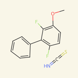 COc1ccc(F)c(-c2ccccc2)c1F.N=C=S